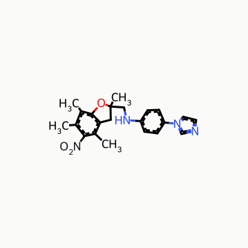 Cc1c(C)c([N+](=O)[O-])c(C)c2c1OC(C)(CNc1ccc(-n3ccnc3)cc1)C2